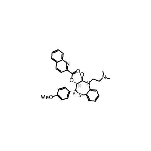 COc1ccc([C@H]2Sc3ccccc3N(CCN(C)C)C(=O)[C@H]2OC(=O)c2ccc3ccccc3n2)cc1